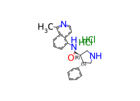 Cc1nccc2c(NC(=O)[C@H]3CNC[C@@H]3c3ccccc3)cccc12.Cl.Cl